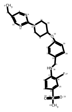 CCc1cnc(N2CCC(Oc3ccc(CNc4ccc(S(C)(=O)=O)cc4F)cc3)CC2)nc1